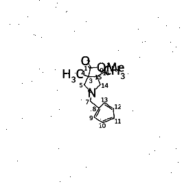 COC(=O)C1(C)CN(Cc2ccccc2)CC1C